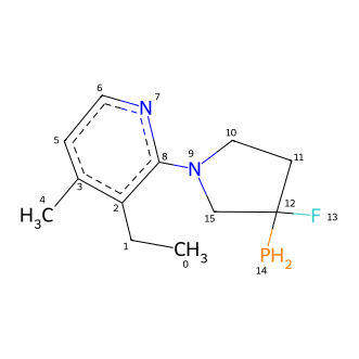 CCc1c(C)ccnc1N1CCC(F)(P)C1